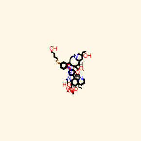 CC[C@]1(O)C[C@H]2CN(CCc3c([nH]c4ccc(SCCCCO)cc34)[C@@](C(=O)OC)(c3cc4c(cc3OC)N(C)[C@H]3[C@@](O)(C(=O)OC)[C@H](OC(C)=O)[C@]5(CC)C=CCN6CC[C@]43[C@@H]65)C2)C1